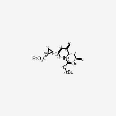 C=CC[C@H](NC(=O)OC(C)(C)C)C(=C)/C=C(\C)[C@H]1C[C@H]1C(=O)OCC